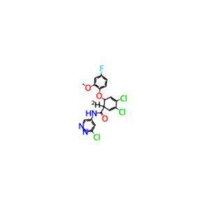 [2H]C1(C(=O)Nc2cnnc(Cl)c2)C=C(Cl)C(Cl)=CC1Oc1ccc(F)cc1OC